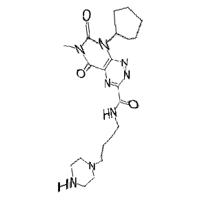 Cn1c(=O)c2nc(C(=O)NCCCN3CCNCC3)nnc2n(C2CCCC2)c1=O